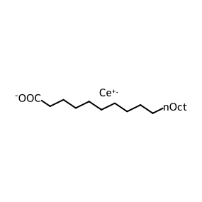 CCCCCCCCCCCCCCCCCC(=O)[O-].[Ce+]